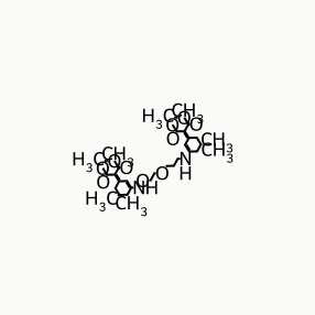 CC1(C)CC(NCCCOCCONC2=CC(=C3C(=O)OC(C)(C)OC3=O)CC(C)(C)C2)=CC(=C2C(=O)OC(C)(C)OC2=O)C1